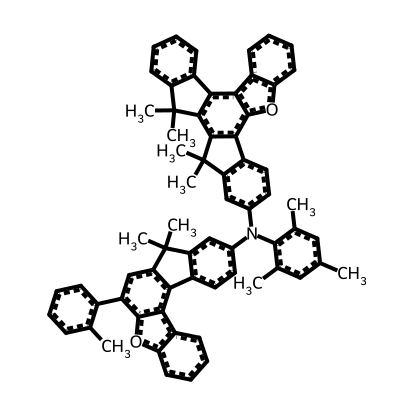 Cc1cc(C)c(N(c2ccc3c(c2)C(C)(C)c2cc(-c4ccccc4C)c4oc5ccccc5c4c2-3)c2ccc3c(c2)C(C)(C)c2c4c(c5c(oc6ccccc65)c2-3)-c2ccccc2C4(C)C)c(C)c1